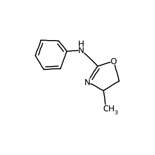 CC1COC(Nc2ccccc2)=N1